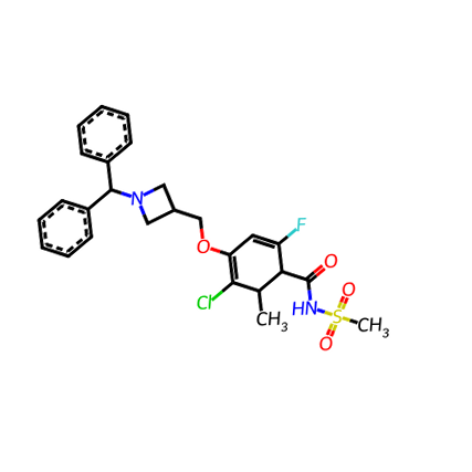 CC1C(Cl)=C(OCC2CN(C(c3ccccc3)c3ccccc3)C2)C=C(F)C1C(=O)NS(C)(=O)=O